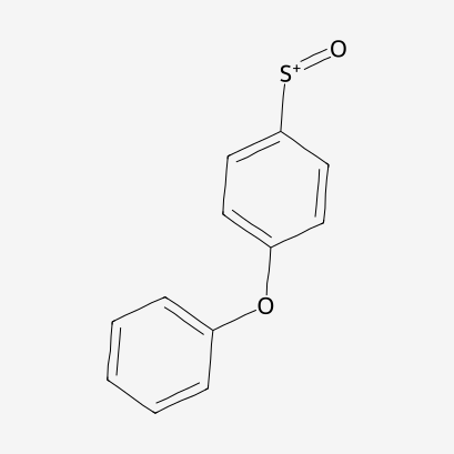 O=[S+]c1ccc(Oc2ccccc2)cc1